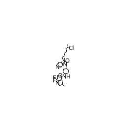 Cc1cnc(C(F)(F)F)c(C(=O)N[C@H]2CC[C@H](Cn3c(=O)n(CCCCCC(C)Cl)c4ccncc43)CC2)c1